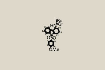 COc1ccc(S(=O)(=O)n2c3c(c4ccccc42)[C@H](N[S+]([O-])C(C)(C)C)CCC3)cc1